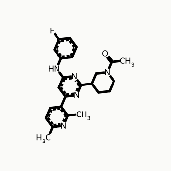 CC(=O)N1CCCC(c2nc(Nc3cccc(F)c3)cc(-c3ccc(C)nc3C)n2)C1